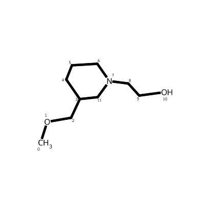 COCC1CCCN(CCO)C1